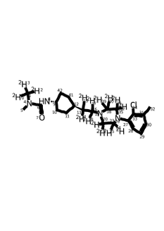 [2H]C([2H])([2H])N(C)C(=O)N[C@H]1CC[C@H](C([2H])([2H])C([2H])([2H])N2C([2H])([2H])C([2H])([2H])N(c3cccc(C)c3Cl)C([2H])([2H])C2([2H])[2H])CC1